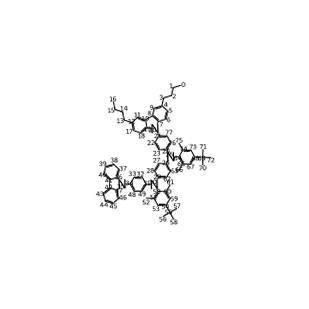 CCCCc1ccc2c(c1)c1cc(CCCC)ccc1n2-c1ccc(N(c2ccc(N(c3ccc(-n4c5ccccc5c5ccccc54)cc3)c3c(C)cc(C(C)(C)C)cc3C)cc2)c2c(C)cc(C(C)(C)C)cc2C)cc1